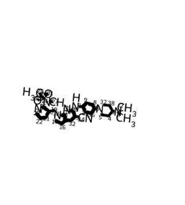 CN(C)C1CCN(c2ccc(Nc3nc4c(ccn4Cc4cccnc4N(C)S(C)(=O)=O)cc3C#N)cc2)CC1